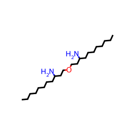 CCCCCCCCC(N)CCOCCC(N)CCCCCCCC